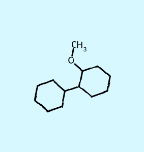 COC1CCCCC1C1CCCCC1